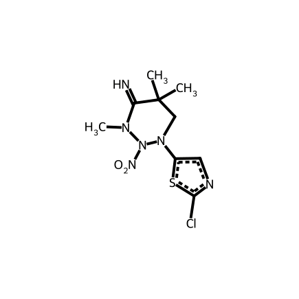 CN1C(=N)C(C)(C)CN(c2cnc(Cl)s2)N1[N+](=O)[O-]